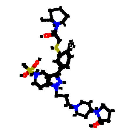 CC1CCCCN1C(=O)CSc1cc(-c2nn(CCCN3CCC(N4CCCC4=O)CC3)c3c2CN(S(C)(=O)=O)CC3)ccc1C(F)(F)F